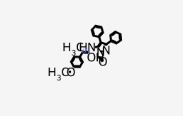 COc1ccc(/C(C)=C(\O)Nc2c(-c3ccccc3)c(-c3ccccc3)nn2C=O)cc1